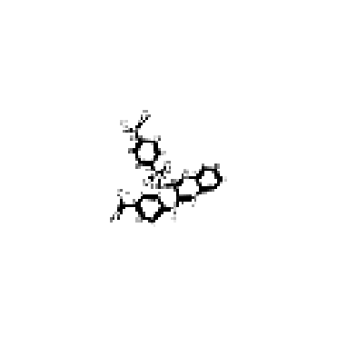 O=C(O)c1ccc(Nc2nc3ccccc3nc2NS(=O)(=O)c2ccc([N+](=O)[O-])cc2)cc1